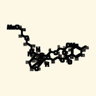 COCCOCCOC1C2OC3CC([C@H]2OCCOS(=O)(=O)c2ccc(C)cc2)[C@H](OCCOCCOC)[C@@H]1C3